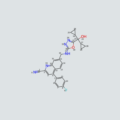 N#Cc1cc(-c2ccc(F)cc2)c2ccc(CNc3nnc(C(O)(C4CC4)C4CC4)o3)cc2n1